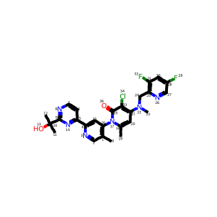 Cc1cnc(-c2ccnc(C(C)(C)O)n2)cc1-n1c(C)cc(N(C)Cc2ncc(F)cc2F)c(Cl)c1=O